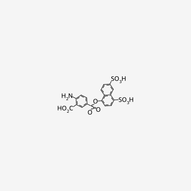 Nc1ccc(S(=O)(=O)Oc2ccc(S(=O)(=O)O)c3cc(S(=O)(=O)O)ccc23)cc1C(=O)O